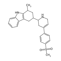 CC1CC(C2CC(c3ccc(S(C)(=O)=O)cc3)=CCN2)Cc2c1[nH]c1ccccc21